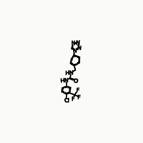 O=C(NCc1ccc(-n2cnnn2)cc1)Nc1ccc(Cl)c(C(F)(F)F)c1